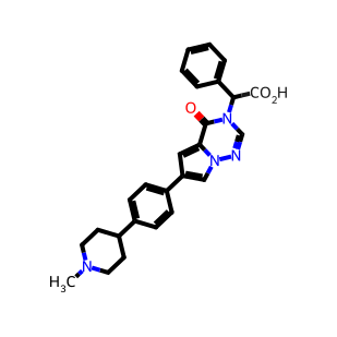 CN1CCC(c2ccc(-c3cc4c(=O)n(C(C(=O)O)c5ccccc5)cnn4c3)cc2)CC1